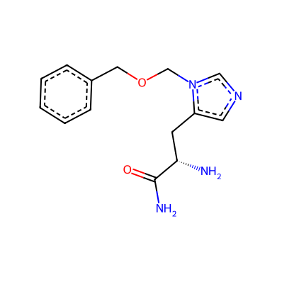 NC(=O)[C@@H](N)Cc1cncn1COCc1ccccc1